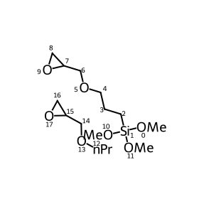 CO[Si](CCCOCC1CO1)(OC)OC.[CH2]CCOCC1CO1